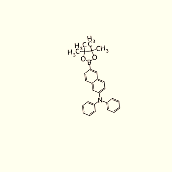 CC1(C)OB(c2ccc3cc(N(c4ccccc4)c4ccccc4)ccc3c2)OC1(C)C